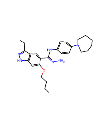 CCCCOc1cc2[nH]nc(CC)c2cc1/C(=N/N)Nc1ccc(N2CCCCCC2)cc1